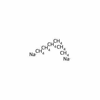 C.C.C.C.C.C.[Na].[Na]